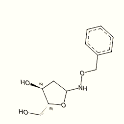 OC[C@H]1OC(NOCc2ccccc2)C[C@@H]1O